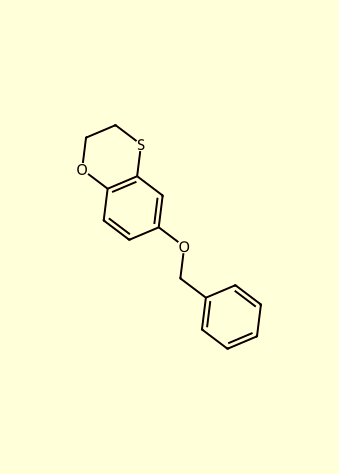 c1ccc(COc2ccc3c(c2)SCCO3)cc1